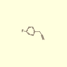 [C]#CCc1ccc(F)cc1